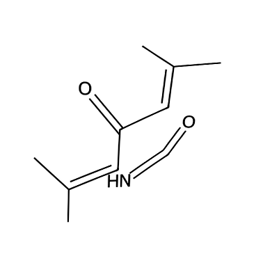 CC(C)=CC(=O)C=C(C)C.N=C=O